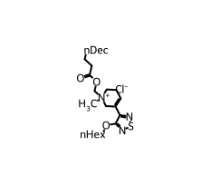 CCCCCCCCCCCCC(=O)OC[N+]1(C)CCC=C(c2nsnc2OCCCCCC)C1.[Cl-]